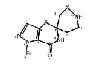 CC(C)n1ncc2c1C(=O)NC1(CCNCC1)C2